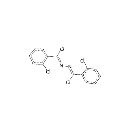 ClC(=NN=C(Cl)c1ccccc1Cl)c1ccccc1Cl